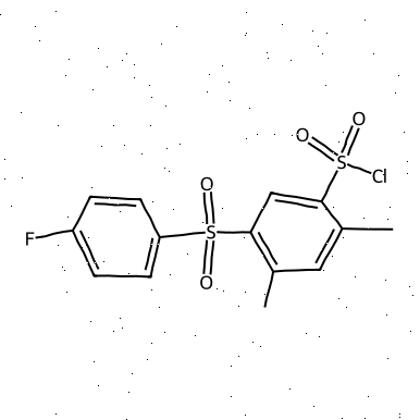 Cc1cc(C)c(S(=O)(=O)c2ccc(F)cc2)cc1S(=O)(=O)Cl